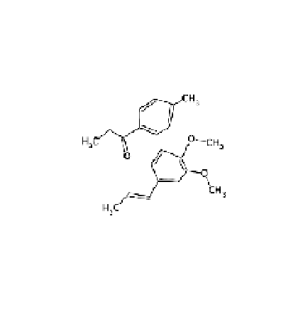 C/C=C/c1ccc(OC)c(OC)c1.CCC(=O)c1ccc(C)cc1